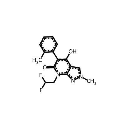 Cc1ccccc1-c1c(O)c2cn(C)nc2n(CC(F)F)c1=O